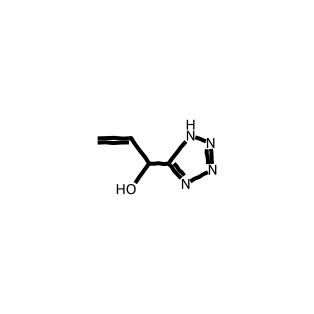 C=CC(O)c1nnn[nH]1